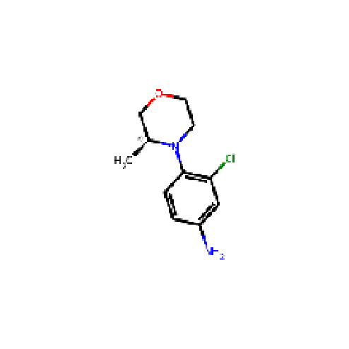 C[C@H]1COCCN1c1ccc(N)cc1Cl